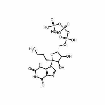 CCCC[C@@]1(n2cnc3c(=O)[nH]c(=O)[nH]c32)O[C@H](COP(=O)(O)OP(=O)(O)OP(=O)(O)O)[C@@H](O)[C@H]1O